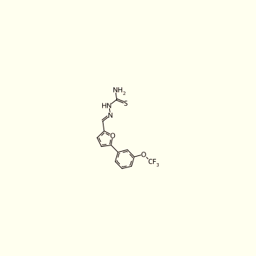 NC(=S)NN=Cc1ccc(-c2cccc(OC(F)(F)F)c2)o1